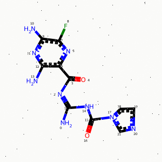 N/C(=N/C(=O)c1nc(F)c(N)nc1N)NC(=O)n1ccnc1